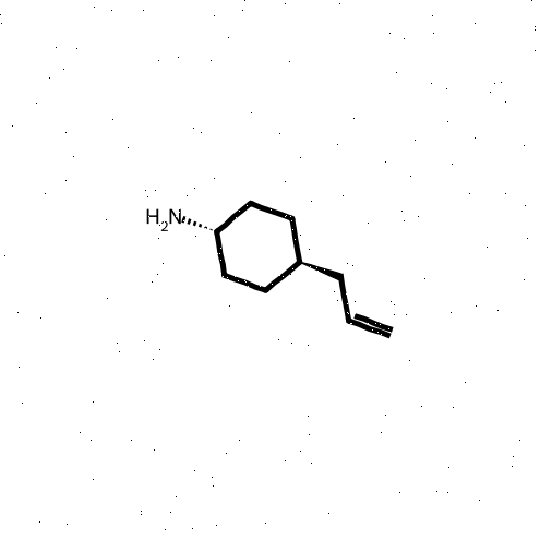 C=CC[C@H]1CC[C@H](N)CC1